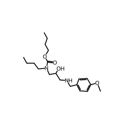 CCCCOC(=O)N(CCCC)CC(O)CNCc1ccc(OC)cc1